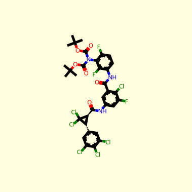 CC(C)(C)OC(=O)N(C(=O)OC(C)(C)C)c1c(F)ccc(NC(=O)c2cc(NC(=O)[C@H]3[C@H](c4cc(Cl)c(Cl)c(Cl)c4)C3(Cl)Cl)cc(F)c2Cl)c1F